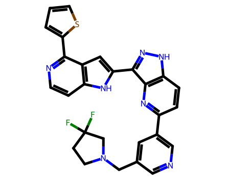 FC1(F)CCN(Cc2cncc(-c3ccc4[nH]nc(-c5cc6c(-c7cccs7)nccc6[nH]5)c4n3)c2)C1